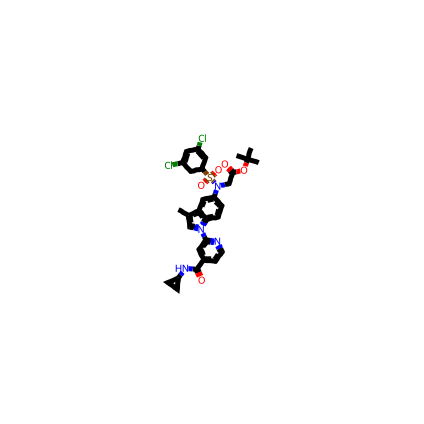 Cc1cn(-c2cc(C(=O)NC3CC3)ccn2)c2ccc(N(CC(=O)OC(C)(C)C)S(=O)(=O)C3C=C(Cl)C=C(Cl)C3)cc12